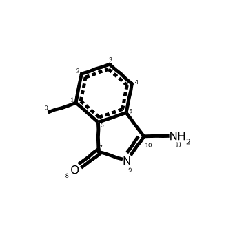 Cc1cccc2c1C(=O)N=C2N